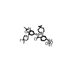 CCS(=O)(=O)Nc1ccc(C(=O)Nc2cc(N3CCC(F)(F)CC3)c3oc(C)nc3c2)c(N2CCC3(CC2)CC3)c1